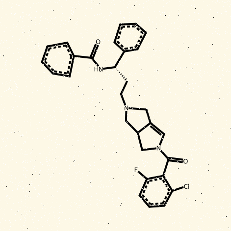 O=C(N[C@@H](CCN1CC2=CN(C(=O)c3c(F)cccc3Cl)CC2C1)c1ccccc1)c1ccccc1